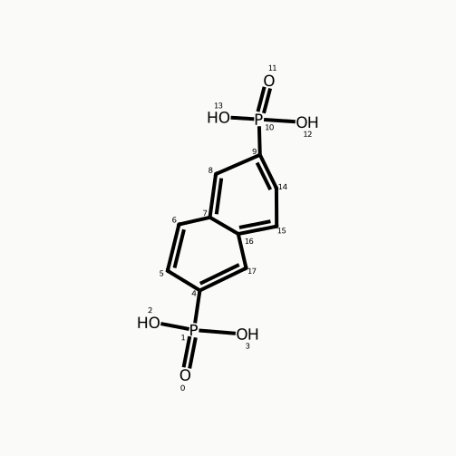 O=P(O)(O)c1ccc2cc(P(=O)(O)O)ccc2c1